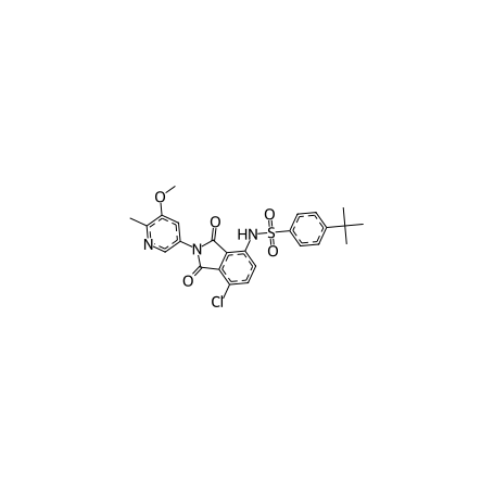 COc1cc(N2C(=O)c3c(Cl)ccc(NS(=O)(=O)c4ccc(C(C)(C)C)cc4)c3C2=O)cnc1C